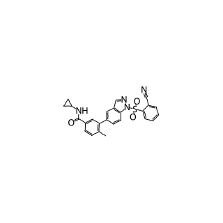 Cc1ccc(C(=O)NC2CC2)cc1-c1ccc2c(cnn2S(=O)(=O)c2ccccc2C#N)c1